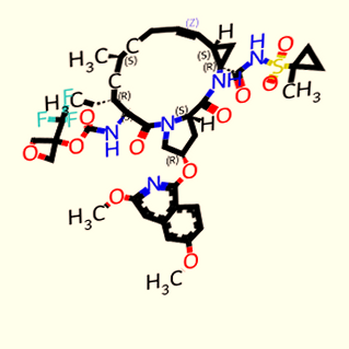 CC[C@@H]1C[C@@H](C)CC/C=C\[C@@H]2C[C@@]2(C(=O)NS(=O)(=O)C2(C)CC2)NC(=O)[C@@H]2C[C@@H](Oc3nc(OC)cc4cc(OC)ccc34)CN2C(=O)[C@H]1NC(=O)OC1(C(F)(F)F)COC1